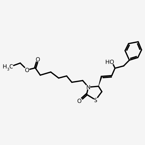 CCOC(=O)CCCCCCN1C(=O)SC[C@@H]1C=CC(O)Cc1ccccc1